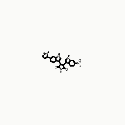 Cn1nccc1-c1ccc2c(C3=C(c4cn(C)c5cc([N+](=O)[O-])ccc45)C(=O)NC3=O)cn(C)c2c1